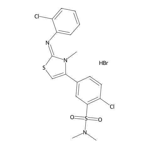 Br.CN(C)S(=O)(=O)c1cc(-c2cs/c(=N/c3ccccc3Cl)n2C)ccc1Cl